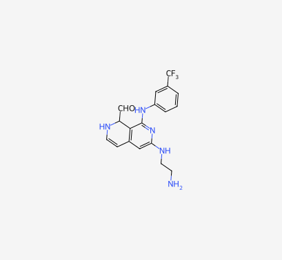 NCCNc1cc2c(c(Nc3cccc(C(F)(F)F)c3)n1)C(C=O)NC=C2